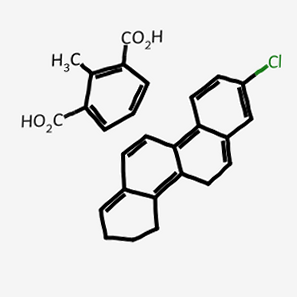 Cc1c(C(=O)O)cccc1C(=O)O.Clc1ccc2c(c1)=CCc1c3c(ccc1=2)=CCCC3